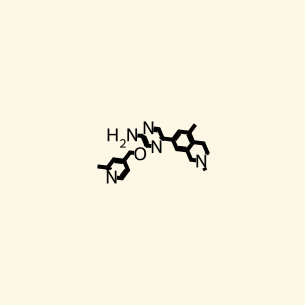 Cc1cc(COc2nc(-c3cc(C)c4c(c3)CN(C)CC4)cnc2N)ccn1